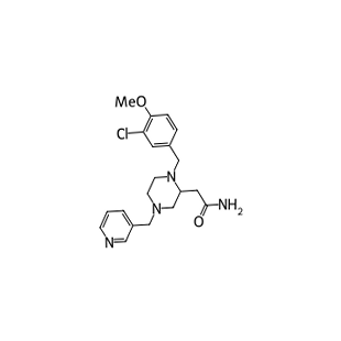 COc1ccc(CN2CCN(Cc3cccnc3)CC2CC(N)=O)cc1Cl